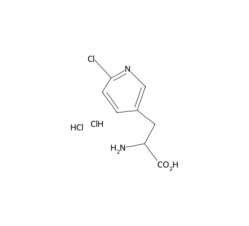 Cl.Cl.NC(Cc1ccc(Cl)nc1)C(=O)O